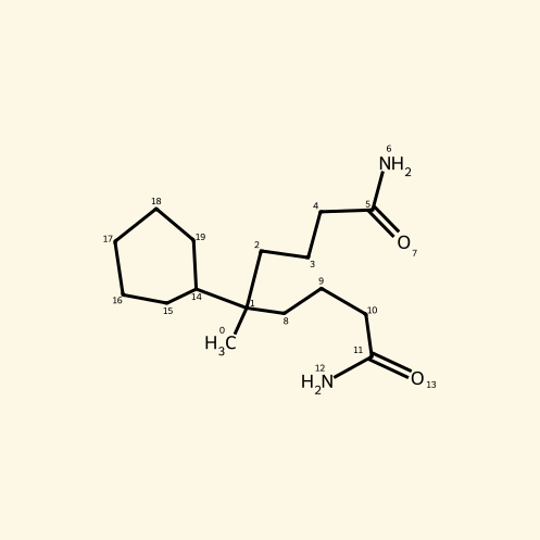 CC(CCCC(N)=O)(CCCC(N)=O)C1CCCCC1